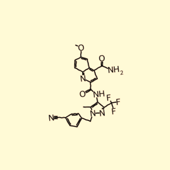 COc1ccc2nc(C(=O)Nc3c(C(F)(F)F)nn(Cc4ccc(C#N)cc4)c3C)cc(C(N)=O)c2c1